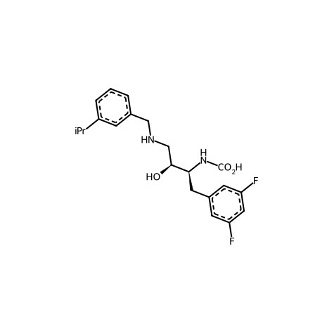 CC(C)c1cccc(CNC[C@H](O)[C@H](Cc2cc(F)cc(F)c2)NC(=O)O)c1